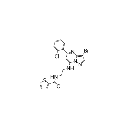 O=C(NCCNc1cc(-c2ccccc2Cl)nc2c(Br)cnn12)c1cccs1